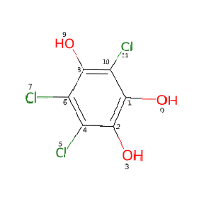 Oc1c(O)c(Cl)c(Cl)c(O)c1Cl